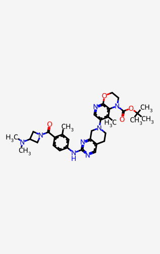 Cc1cc(Nc2ncc3c(n2)CN(c2cnc4c(c2C)N(C(=O)OC(C)(C)C)CCO4)CC3)ccc1C(=O)N1CC(N(C)C)C1